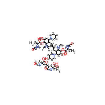 C[C@@](CCCC[C@](C)(N=C=O)C(=O)O)(N=C=O)C(=O)O.C[C@H](N=C=O)C(=O)Oc1c(O)cc(N2CCCCC2)c(CCCCc2c(N3CCCCC3)cc(O)c(OC(=O)[C@H](C)N=C=O)c2N(C)C)c1N(C)C